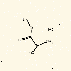 CC(O)C(=O)ON.[Pt]